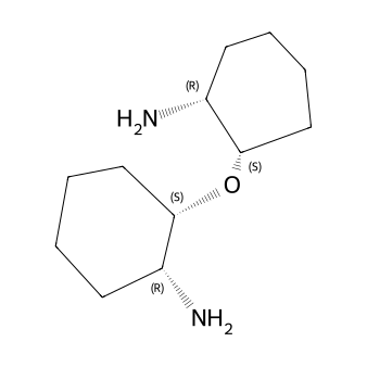 N[C@@H]1CCCC[C@@H]1O[C@H]1CCCC[C@H]1N